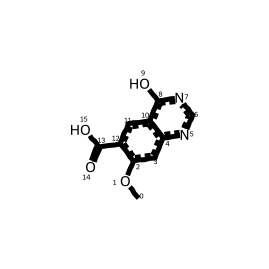 COc1cc2ncnc(O)c2cc1C(=O)O